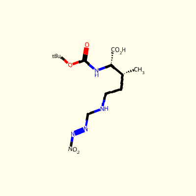 C[C@H](CCNC/N=N/[N+](=O)[O-])[C@H](NC(=O)OC(C)(C)C)C(=O)O